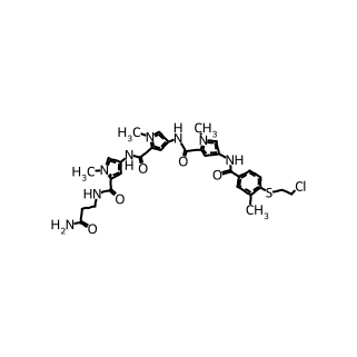 Cc1cc(C(=O)Nc2cc(C(=O)Nc3cc(C(=O)Nc4cc(C(=O)NCCC(N)=O)n(C)c4)n(C)c3)n(C)c2)ccc1SCCCl